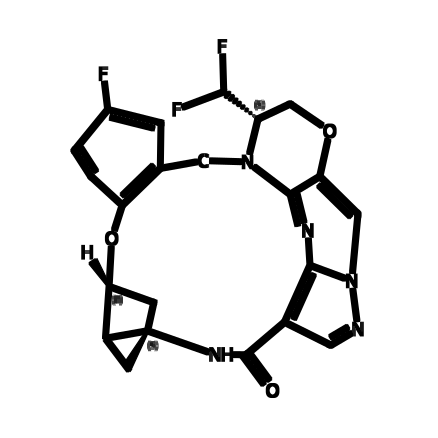 O=C1N[C@]23CC2[C@@H](C3)Oc2ccc(F)cc2CN2c3nc4c1cnn4cc3OC[C@H]2C(F)F